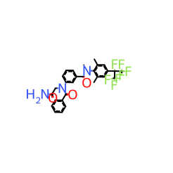 Cc1cc(C(F)(C(F)(F)F)C(F)(F)F)cc(C)c1N(C)C(=O)c1cccc(N(CC(N)=O)C(=O)c2ccccc2)c1